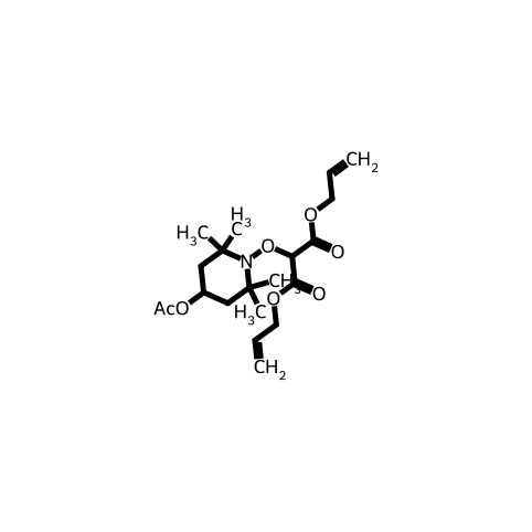 C=CCOC(=O)C(ON1C(C)(C)CC(OC(C)=O)CC1(C)C)C(=O)OCC=C